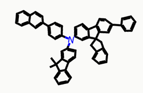 CC1(C)c2ccccc2-c2ccc(N(c3ccc(-c4ccc5ccccc5c4)cc3)c3ccc4c(c3)C3(Cc5ccccc5C3)c3cc(-c5ccccc5)ccc3-4)cc21